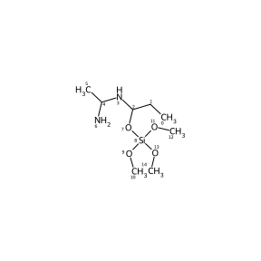 CCC(NC(C)N)O[Si](OC)(OC)OC